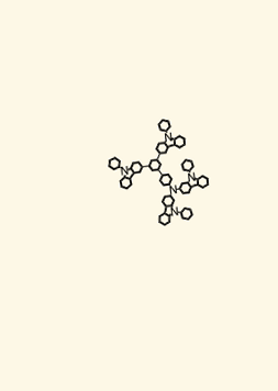 c1ccc(-n2c3ccccc3c3cc(-c4cc(-c5ccc(N(c6ccc7c8ccccc8n(-c8ccccc8)c7c6)c6ccc7c8ccccc8n(-c8ccccc8)c7c6)cc5)cc(-c5ccc6c(c5)c5ccccc5n6-c5ccccc5)c4)ccc32)cc1